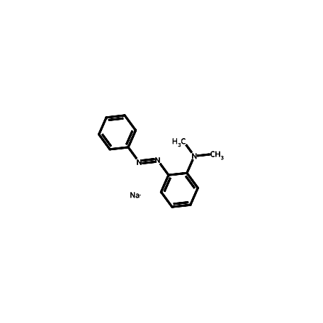 CN(C)c1ccccc1N=Nc1ccccc1.[Na]